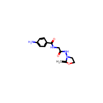 C=C1OCCN1NC(=O)CNC(=O)c1ccc(N)cc1